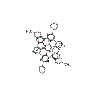 Cc1ccc2c(c1)c1cc(C)ccc1n2-c1ccccc1-c1cc(-c2ccccc2-c2cc(-c3ccccc3)nc(-c3ccccc3)n2)c(-c2ccccc2-n2c3ccc(C)cc3c3cc(C)ccc32)nc1-c1ccccc1-c1cc(-c2ccccc2)nc(-c2ccccc2)n1